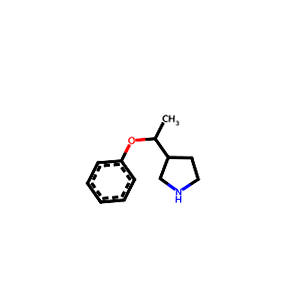 CC(Oc1ccccc1)C1CCNC1